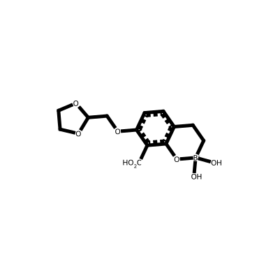 O=C(O)c1c(OCC2OCCO2)ccc2c1O[B-](O)(O)CC2